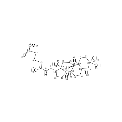 COC(=O)CCCC(C)NC[C@H]1CC[C@H]2[C@@H]3CC[C@@H]4C[C@](C)(O)CC[C@@H]4[C@H]3CC[C@]12C